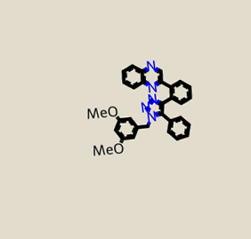 COc1cc(Cn2nnc(-c3ccccc3-c3cnc4ccccc4n3)c2-c2ccccc2)cc(OC)c1